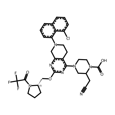 N#CCC1CN(c2nc(OC[C@@H]3CCCN3C(=O)C(F)(F)F)nc3c2CCN(c2cccc4cccc(Cl)c24)C3)CCN1C(=O)O